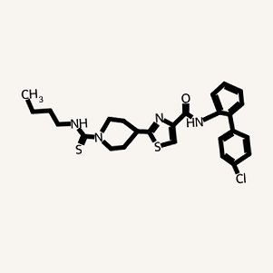 CCCCNC(=S)N1CCC(c2nc(C(=O)Nc3ccccc3-c3ccc(Cl)cc3)cs2)CC1